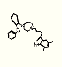 Cc1cc(C)c2[nH]cc(CCCN3CCN(c4ccccc4Oc4ccccc4)CC3)c2c1